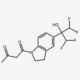 CC(=O)CC(=O)N1CCc2cc(C(O)(C(F)F)C(F)F)ccc21